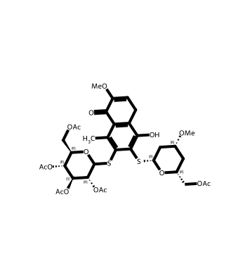 COC1=CCc2c(O)c(S[C@@H]3C[C@H](OC)C[C@H](COC(C)=O)O3)c(SC3O[C@H](COC(C)=O)[C@@H](OC(C)=O)[C@H](OC(C)=O)[C@H]3OC(C)=O)c(C)c2C1=O